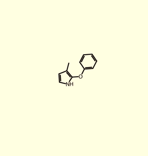 Cc1cc[nH]c1Oc1ccccc1